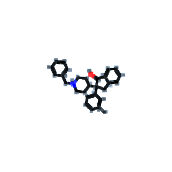 Cc1cccc(C2(C3CCN(Cc4ccccc4)CC3)Cc3ccccc3C2=O)c1